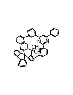 CC1(C)c2ccccc2C2(c3ccccc3-c3ccccc32)c2cccc(-c3cccc(-c4nc(-c5ccccc5)cc(-c5cccc(-c6ccccc6)c5)n4)c3)c21